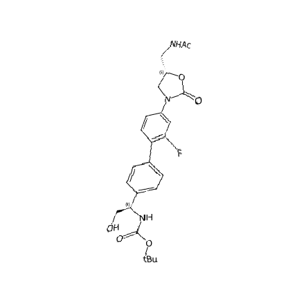 CC(=O)NC[C@H]1CN(c2ccc(-c3ccc([C@H](CO)NC(=O)OC(C)(C)C)cc3)c(F)c2)C(=O)O1